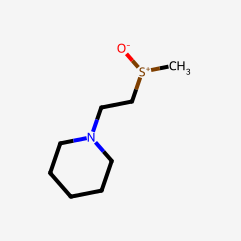 C[S+]([O-])CCN1CCCCC1